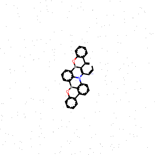 C=C1C2=C(/C=C\C)N3c4cccc5c4B(Oc4ccccc4-5)c4cccc(c43)B2Oc2ccccc21